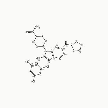 NC(=O)C1CCC(n2c(Nc3c(Cl)cc(Cl)cc3Cl)nc3cnc(NC4CCOC4)nc32)CC1